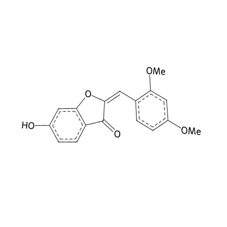 COc1ccc(C=C2Oc3cc(O)ccc3C2=O)c(OC)c1